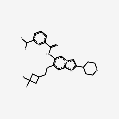 O=C(Nc1cn2cc(C3CCOCC3)nc2cc1OCC1CC(F)(F)C1)c1cccc(C(F)F)n1